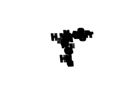 CC(C)S(=O)(=O)c1ccc(-c2cnc(N)c(-c3cc(-c4ccc(CNC5CCCC5)cc4F)no3)n2)cc1